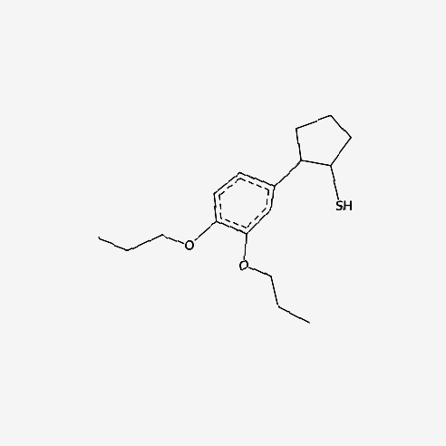 CCCOc1ccc(C2CCCC2S)cc1OCCC